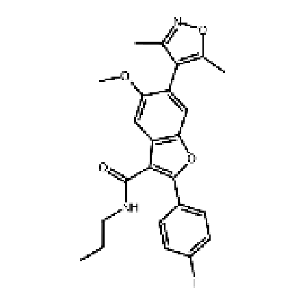 CCCNC(=O)c1c(-c2ccc(F)cc2)oc2cc(-c3c(C)noc3C)c(OC)cc12